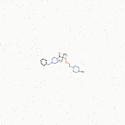 CC(=O)N1CCN(CCOCC(C)(C)C(=O)N2CCN(Cc3ccccc3)CC2)CC1